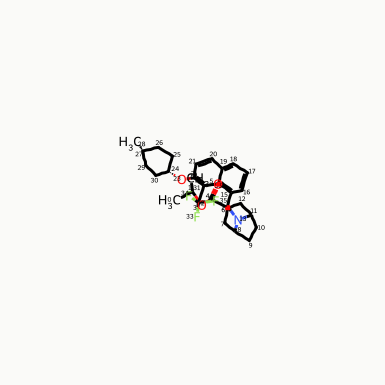 CC(C)OC(=O)C1CC2CCC(C1)N2Cc1cccc2ccc(O[C@H]3CC[C@@H](C)CC3)c(C(F)(F)F)c12